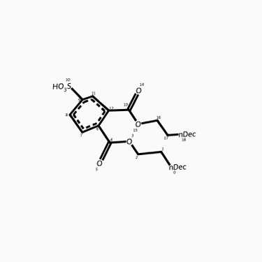 CCCCCCCCCCCCOC(=O)c1ccc(S(=O)(=O)O)cc1C(=O)OCCCCCCCCCCCC